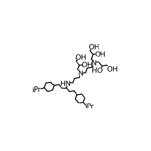 CC(C)C1CCC(CCC(CCC2CCC(C(C)C)CC2)NCCCN(CCCN(CC(O)CO)CC(O)CO)CC(O)CO)CC1